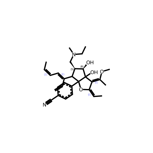 C=C/C(=C\C=C/C)C1[C@@H](CN(C)CC)[C@@H](O)C2(O)C(=C(/C)OC)/C(=C\C)OC12c1ccc(C#N)cc1